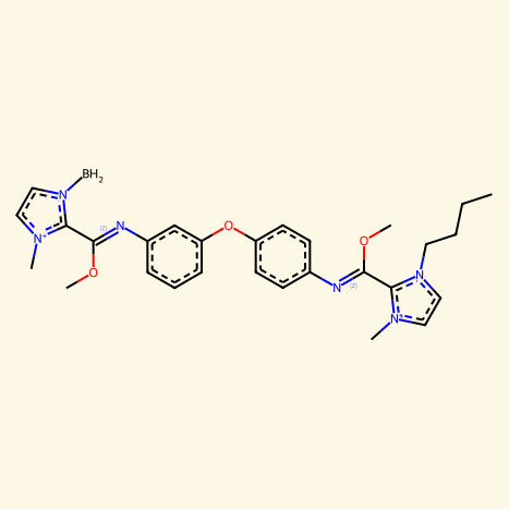 Bn1cc[n+](C)c1/C(=N/c1cccc(Oc2ccc(/N=C(\OC)c3n(CCCC)cc[n+]3C)cc2)c1)OC